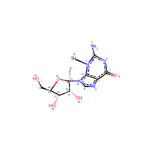 [2H]n1c(N)nc(=O)c2ncn([C@]3(F)O[C@H](CO)[C@@H](O)[C@H]3O)c21